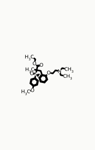 CCOC(=O)C(C)(Cc1ccccc1OCCN(CC)CC)S(=O)(=O)c1ccc(OC)cc1